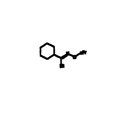 CCCON=C(CC)C1CCCCC1